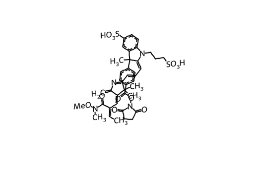 C=C1N=C(/C=C/C=C2/N(CCCS(=O)(=O)O)c3ccc(S(=O)(=O)O)cc3C2(C)c2ccc(C(=O)ON3C(=O)CCC3=O)cc2)C(C)(C)/C1=C/C(=C\C)C(=O)N(C)OC